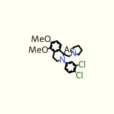 COc1ccc2c(c1OC)CCN(c1ccc(Cl)c(Cl)c1)C2(CN1CCCC1)C(C)=O